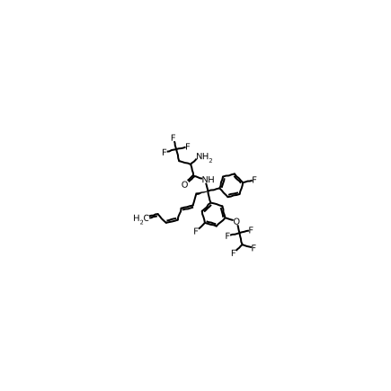 C=C/C=C\C=C\C[C@@](NC(=O)C(N)CC(F)(F)F)(c1ccc(F)cc1)c1cc(F)cc(OC(F)(F)C(F)F)c1